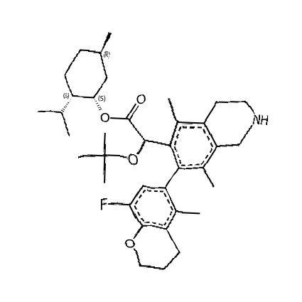 Cc1c(-c2c(C)c3c(c(C)c2C(OC(C)(C)C)C(=O)O[C@H]2C[C@H](C)CC[C@H]2C(C)C)CCNC3)cc(F)c2c1CCCO2